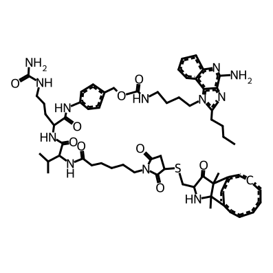 CCCCc1nc2c(N)nc3ccccc3c2n1CCCCNC(=O)OCc1ccc(NC(=O)C(CCCNC(N)=O)NC(=O)C(NC(=O)CCCCCN2C(=O)CC(SCC3NC4(C)c5cccccccc(c5)C4(C)C3=O)C2=O)C(C)C)cc1